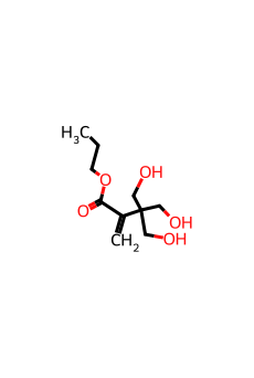 C=C(C(=O)OCCC)C(CO)(CO)CO